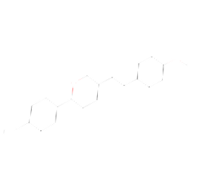 CCCC1CCC(C2CCC(CCC3CCC(OCC)CC3)CO2)CC1